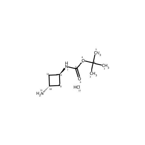 CC(C)(C)OC(=O)N[C@H]1C[C@H](N)C1.Cl